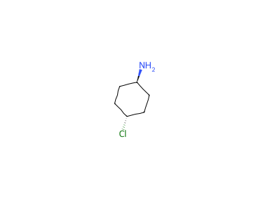 N[C@H]1CC[C@H](Cl)CC1